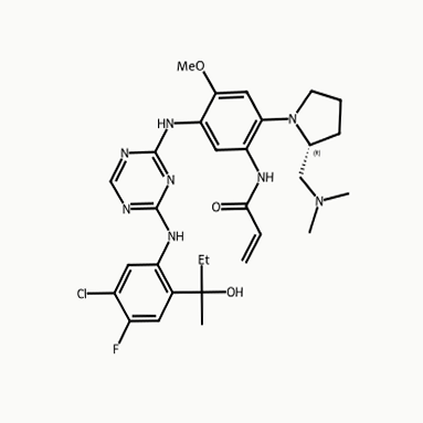 C=CC(=O)Nc1cc(Nc2ncnc(Nc3cc(Cl)c(F)cc3C(C)(O)CC)n2)c(OC)cc1N1CCC[C@@H]1CN(C)C